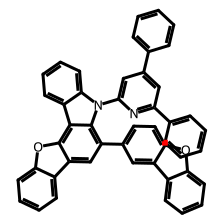 c1ccc(-c2cc(-c3ccccc3)nc(-n3c4ccccc4c4c5oc6ccccc6c5cc(-c5ccc6oc7ccccc7c6c5)c43)c2)cc1